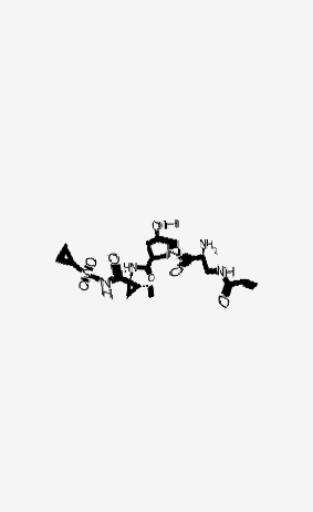 C=CC(=O)NC[C@H](N)C(=O)N1C[C@H](O)CC1C(=O)N[C@]1(C(=O)NS(=O)(=O)C2CC2)C[C@H]1C=C